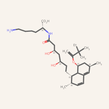 C=C(O[C@H]1C[C@@H](C)C=C2C=C[C@H](C)[C@H](CC[C@@H](O)C[C@@H](O)CC(=O)N[C@H](CCCCN)C(=O)O)C21)C(C)(C)CC